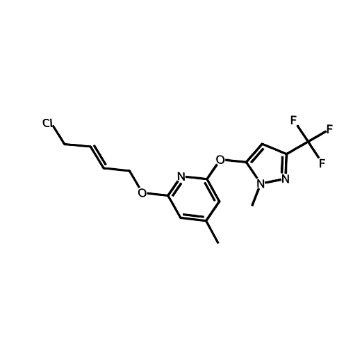 Cc1cc(OCC=CCCl)nc(Oc2cc(C(F)(F)F)nn2C)c1